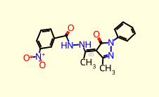 CC1=NN(c2ccccc2)C(=O)/C1=C(/C)NNC(=O)c1cccc([N+](=O)[O-])c1